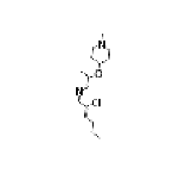 CCC/C=C(Cl)/C=N\C=C(/C)OC1CCN(C)CC1